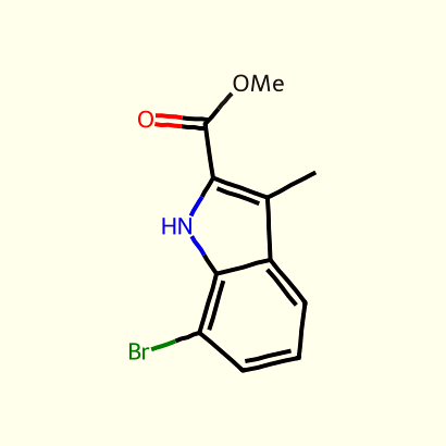 COC(=O)c1[nH]c2c(Br)cccc2c1C